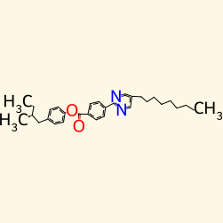 CCCCCCCCCc1cnc(-c2ccc(C(=O)Oc3ccc(C[C@@H](C)CC)cc3)cc2)nc1